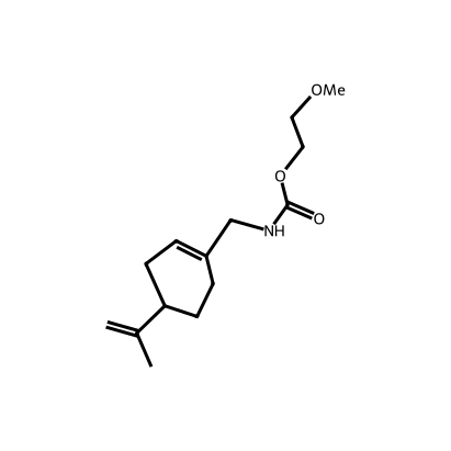 C=C(C)C1CC=C(CNC(=O)OCCOC)CC1